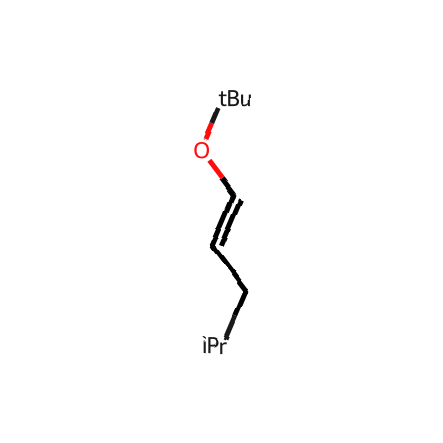 CC(C)C/C=C/OC(C)(C)C